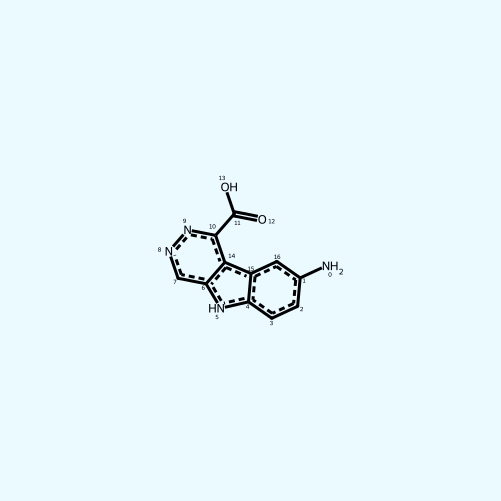 Nc1ccc2[nH]c3cnnc(C(=O)O)c3c2c1